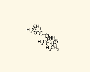 CC(C)c1c(-c2cn(C)c3ncncc23)[nH]c2ccc(C3CCN(C(=O)CN(C)C)CC3)cc12